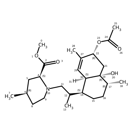 COC(=O)[C@@H]1C[C@H](C)CCN1CC(C)[C@@H]1CC[C@@H](C)[C@]2(O)[CH][C@@H](OC(C)=O)C(C)=C[C@H]12